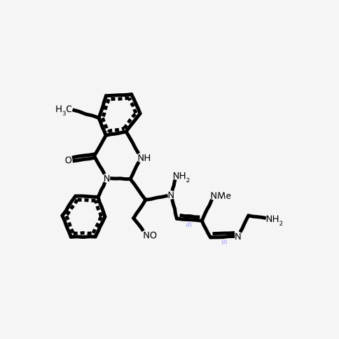 CNC(/C=N\CN)=C\N(N)C(CN=O)C1Nc2cccc(C)c2C(=O)N1c1ccccc1